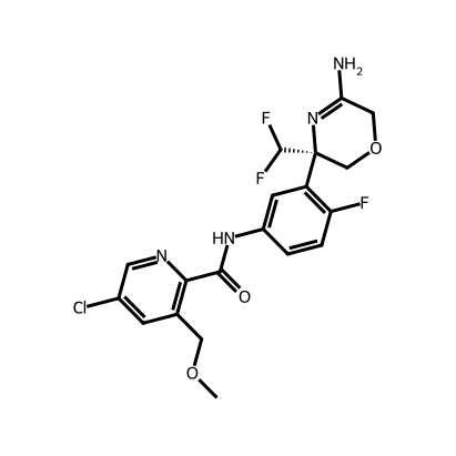 COCc1cc(Cl)cnc1C(=O)Nc1ccc(F)c([C@]2(C(F)F)COCC(N)=N2)c1